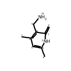 C=C1NC(C)=CC(C)=C1CN